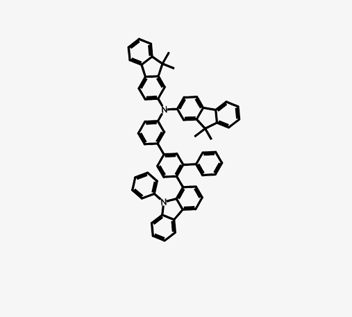 CC1(C)c2ccccc2-c2ccc(N(c3cccc(-c4ccc(-c5cccc6c7ccccc7n(-c7ccccc7)c56)c(-c5ccccc5)c4)c3)c3ccc4c(c3)C(C)(C)c3ccccc3-4)cc21